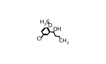 CCCC(O)c1cc(Cl)ccc1OC